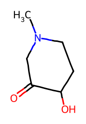 CN1CCC(O)C(=O)C1